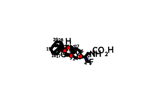 O=C(O)NC/C(=C\F)COc1ccc(C23CC4CC(C2)C(C(=O)NC2CCOCC2)C(C4)C3)cc1